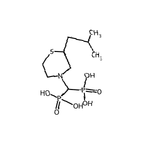 CC(C)CC1CN(C(P(=O)(O)O)P(=O)(O)O)CCS1